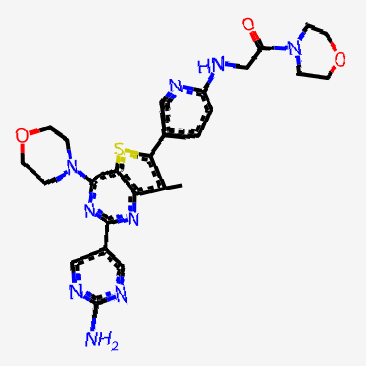 Cc1c(-c2ccc(NCC(=O)N3CCOCC3)nc2)sc2c(N3CCOCC3)nc(-c3cnc(N)nc3)nc12